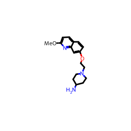 COc1ccc2ccc(OCCN3CCC(N)CC3)cc2n1